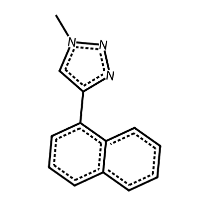 Cn1cc(-c2cccc3ccccc23)nn1